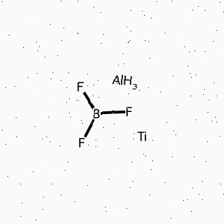 FB(F)F.[AlH3].[Ti]